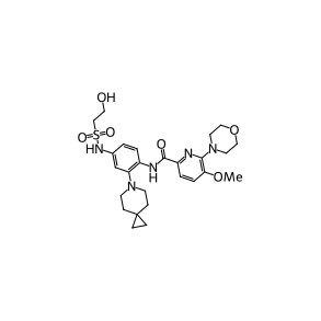 COc1ccc(C(=O)Nc2ccc(NS(=O)(=O)CCO)cc2N2CCC3(CC2)CC3)nc1N1CCOCC1